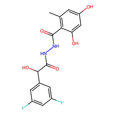 Cc1cc(O)cc(O)c1C(=O)NNC(=O)C(O)c1cc(F)cc(F)c1